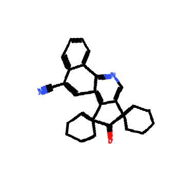 N#Cc1cc2c3c(cnc2c2ccccc12)C1(CCCCC1)C(=O)C31CCCCC1